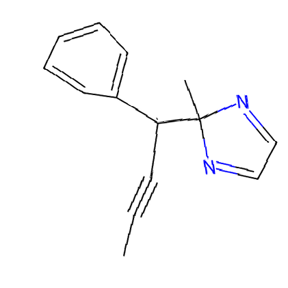 CC#C[C](c1ccccc1)C1(C)N=CC=N1